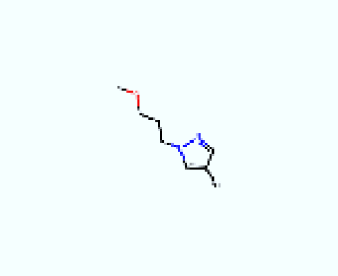 [2H]c1cnn(CCCOC)c1